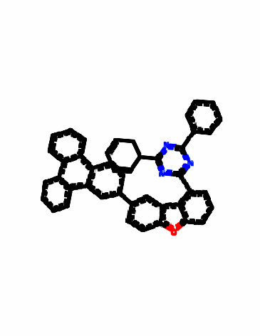 C1=CCC(c2nc(-c3ccccc3)nc(-c3cccc4oc5ccc(-c6ccc7c8ccccc8c8ccccc8c7c6)cc5c34)n2)C=C1